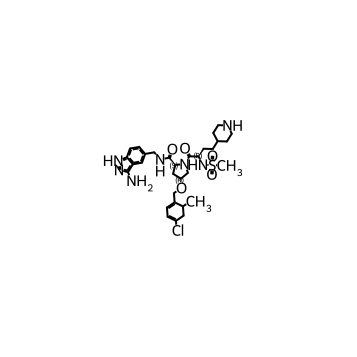 CC1CC(Cl)=CC=C1CO[C@@H]1C[C@@H](C(=O)NCc2ccc3[nH]nc(N)c3c2)N(C(=O)[C@@H](CCC2CCNCC2)NS(C)(=O)=O)C1